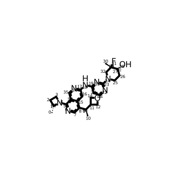 C[C@@H]1CCN1c1ncc([C@H](C)C2COC2)c2cc(Nc3ccnc(N4CC[C@@H](O)[C@@](C)(F)C4)n3)ncc12